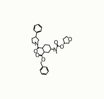 CN(C(=O)OC1CCOC1)C1CCC(C(=O)N2CCC(c3ccccc3)C2)C(C(=O)OCc2ccccc2)C1